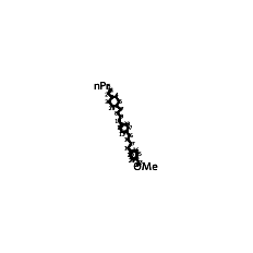 CCCC=CC1CCC(CCCCC2CCC(CCCCc3ccc(COC)cc3)CC2)CC1